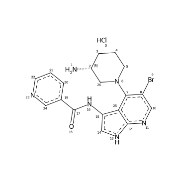 Cl.N[C@@H]1CCCN(c2c(Br)cnc3[nH]cc(NC(=O)c4cccnc4)c23)C1